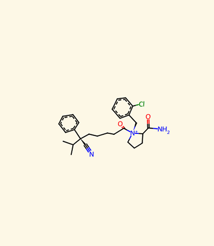 CC(C)[C@@](C#N)(CCCCC(=O)[N@@+]1(Cc2ccccc2Cl)CCCC1C(N)=O)c1ccccc1